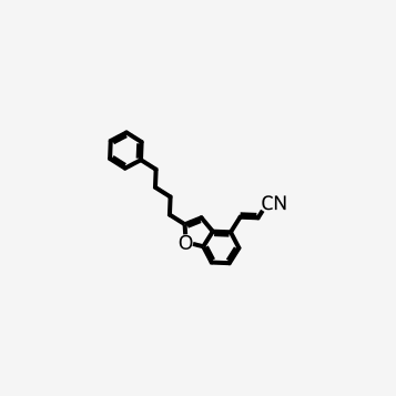 N#C/C=C/c1cccc2oc(CCCCc3ccccc3)cc12